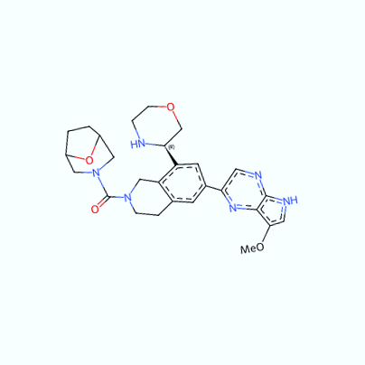 COc1c[nH]c2ncc(-c3cc4c(c([C@@H]5COCCN5)c3)CN(C(=O)N3CC5CCC(C3)O5)CC4)nc12